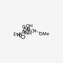 CCn1cc2cccc(C(=O)NCC3C4CN(CCCOC)CC34)c2n1.O=C(O)C(=O)O